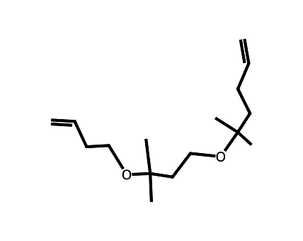 C=CCCOC(C)(C)CCOC(C)(C)CCC=C